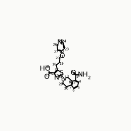 NC(=O)c1cccc2c1CN(c1nc(C(=O)O)c(CCCOc3ccncc3)s1)CC2